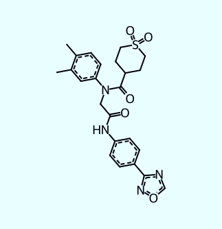 Cc1ccc(N(CC(=O)Nc2ccc(-c3ncon3)cc2)C(=O)C2CCS(=O)(=O)CC2)cc1C